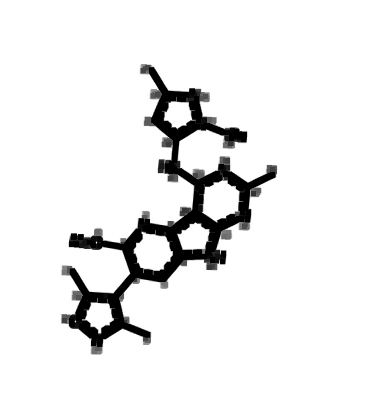 COc1nc2c(cc1-c1c(C)noc1C)[nH]c1nc(C)nc(Nc3cc(C)nn3C(C)(C)C)c12